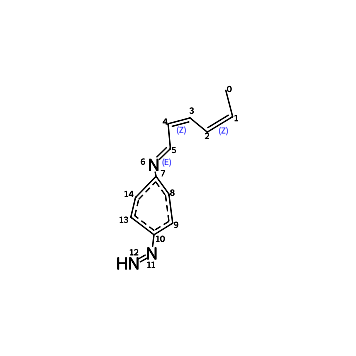 C\C=C/C=C\C=N\c1ccc(N=N)cc1